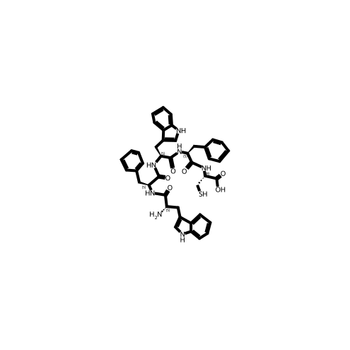 N[C@@H](Cc1c[nH]c2ccccc12)C(=O)N[C@@H](Cc1ccccc1)C(=O)N[C@@H](Cc1c[nH]c2ccccc12)C(=O)N[C@@H](Cc1ccccc1)C(=O)N[C@@H](CS)C(=O)O